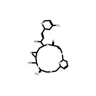 C=C1CCCC2C=CCC(C/C=C\C(=O)OC(C(O)C=CC3CC(C)=CCO3)CC3OC3C(O)C1)O2